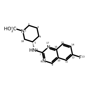 O=C(O)N1CCC[C@H](Nc2ncc3cc(F)ccc3n2)C1